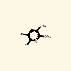 COc1nc(Cl)c(F)cc1C=O